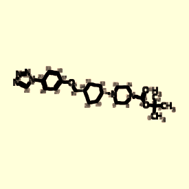 CC(C)(C)OC(=O)N1CCN([C@H]2CC[C@H](COc3ccc(-n4cnnn4)cc3)CC2)CC1